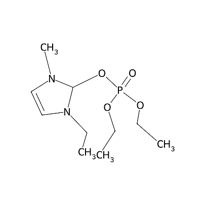 CCOP(=O)(OCC)OC1N(C)C=CN1CC